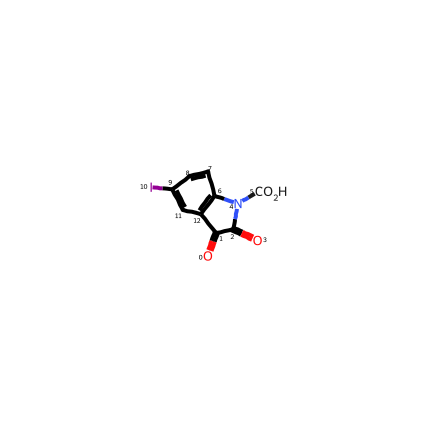 O=C1C(=O)N(C(=O)O)c2ccc(I)cc21